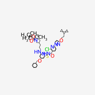 CC(C)(C)OC(=O)N1CC(CCCNc2cc(OCc3ccccc3)cc(SNC(=O)c3ccc(-n4ccc(OCCC5C6(CC6)C56CC6)n4)nc3Cl)n2)CC1(C)C